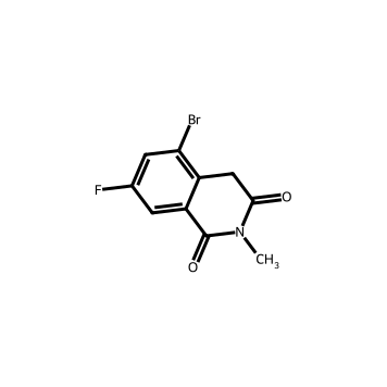 CN1C(=O)Cc2c(Br)cc(F)cc2C1=O